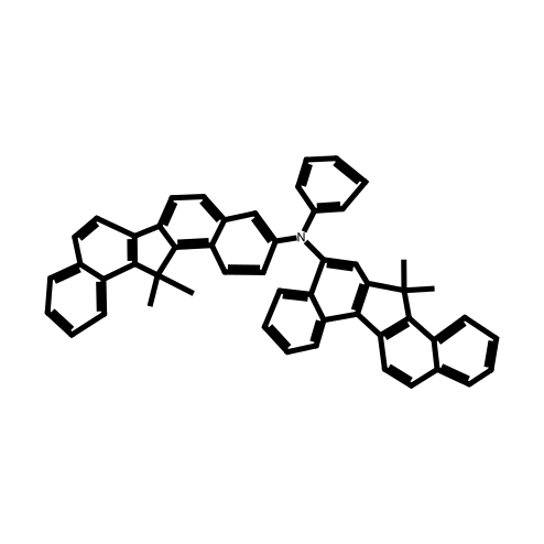 CC1(C)c2cc(N(c3ccccc3)c3ccc4c5c(ccc4c3)-c3ccc4ccccc4c3C5(C)C)c3ccccc3c2-c2ccc3ccccc3c21